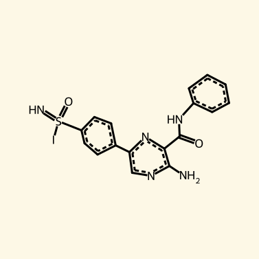 N=S(=O)(I)c1ccc(-c2cnc(N)c(C(=O)Nc3ccccc3)n2)cc1